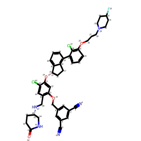 N#Cc1cc(C#N)cc(COc2cc(O[C@H]3CCc4c(-c5cccc(OCCCN6CCC(F)CC6)c5Cl)cccc43)c(Cl)cc2CN[C@H]2CCC(=O)NC2)c1